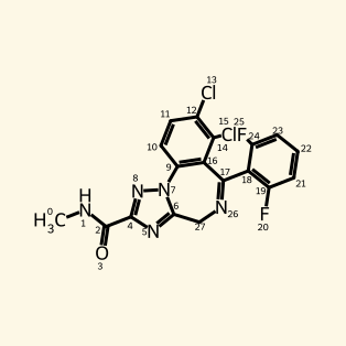 CNC(=O)c1nc2n(n1)-c1ccc(Cl)c(Cl)c1C(c1c(F)cccc1F)=NC2